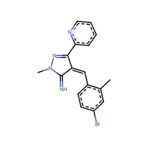 Cc1cc(Br)ccc1/C=C1\C(=N)N(C)N=C1c1ccccn1